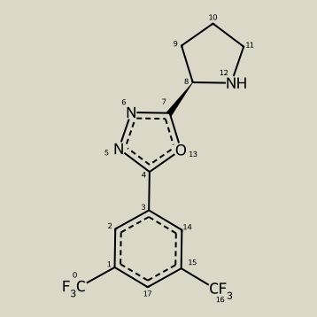 FC(F)(F)c1cc(-c2nnc([C@H]3CCCN3)o2)cc(C(F)(F)F)c1